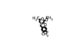 C=CCN(Cc1ccc(F)c(C)c1)C(=O)C(=O)OC